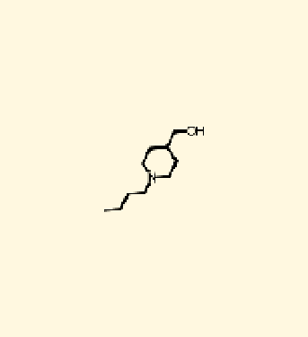 CCCCN1CCC(CO)CC1